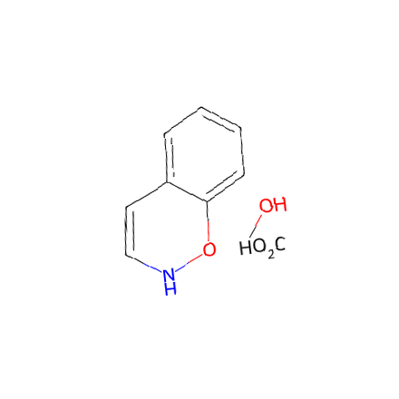 C1=Cc2ccccc2ON1.O=C(O)O